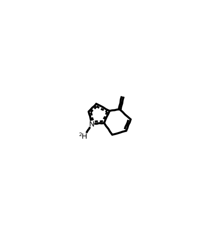 [2H]n1ccc2c1CC=CC2=C